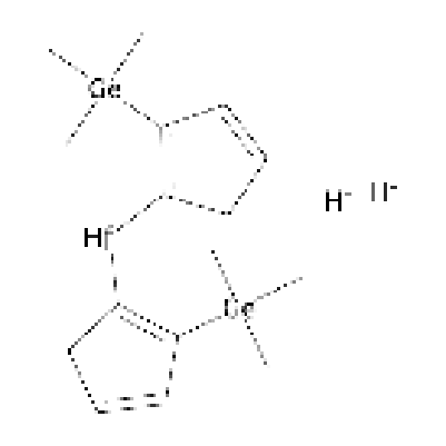 [CH3][Ge]([CH3])([CH3])[C]1=[C]([Hf][C]2=[C]([Ge]([CH3])([CH3])[CH3])C=CC2)CC=C1.[H-].[H-]